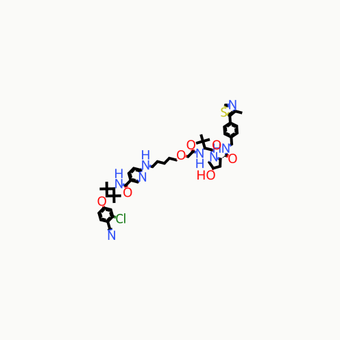 Cc1ncsc1-c1ccc(CNC(=O)[C@@H]2C[C@@H](O)CN2C(=O)[C@@H](NC(=O)COCCCCCNc2ccc(C(=O)N[C@H]3C(C)(C)[C@H](Oc4ccc(C#N)c(Cl)c4)C3(C)C)cn2)C(C)(C)C)cc1